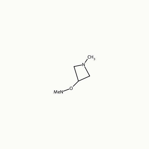 CNOC1CN(C)C1